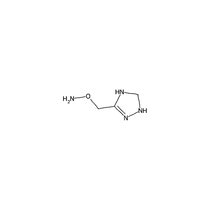 NOCC1=NNCN1